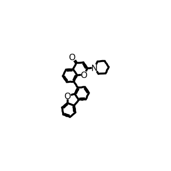 O=c1cc(N2CCCCC2)oc2c(-c3cccc4c3oc3ccccc34)cccc12